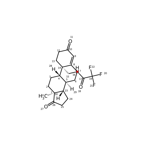 C[C@]12CC[C@H]3[C@@H](CCC4=CC(=O)CC[C@@]43CNC(=O)C(F)(F)F)[C@@H]1CCC2=O